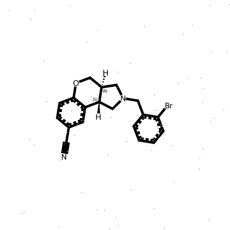 N#Cc1ccc2c(c1)[C@H]1CN(Cc3ccccc3Br)C[C@@H]1CO2